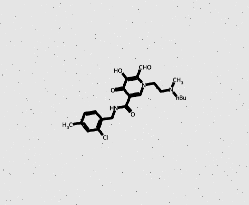 CCCCN(C)CCn1cc(C(=O)NCc2ccc(C)cc2Cl)c(=O)c(O)c1C=O